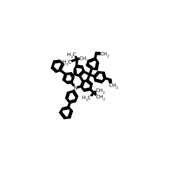 C=Cc1ccc(C2(c3ccc(C=C)cc3)c3cc(C(C)(C)C)ccc3-c3c(N(c4ccc(-c5ccccc5)cc4)c4ccc(-c5ccccc5)cc4)cc(C(C)(C)C)cc32)cc1